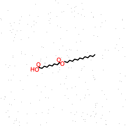 CCCCCCCCCCCCCOC(=O)CCCCCCCC(=O)O